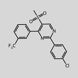 CS(=O)(=O)c1cnc(-c2ccc(Cl)cc2)nc1-c1cccc(C(F)(F)F)c1